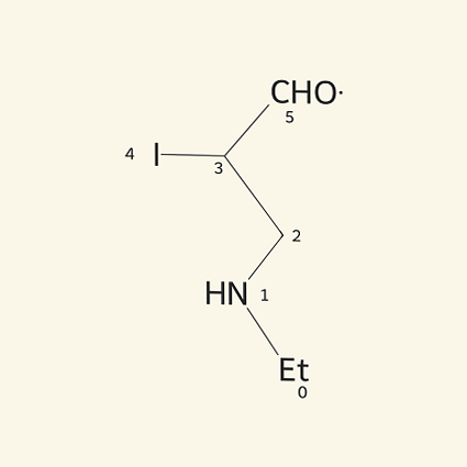 CCNCC(I)[C]=O